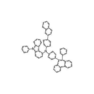 c1ccc(-c2c(-c3ccc(N(c4ccc(-c5ccc6ccccc6c5)cc4)c4cccc5c4c4ccccc4n5-c4ccccc4)cc3)c3ccccc3c3ccccc23)cc1